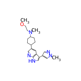 COCCN(C)C1CCC(c2cnc3[nH]cc(-c4cnn(C)c4)c3c2)CC1